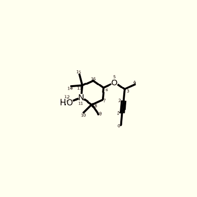 CC#CC(C)OC1CC(C)(C)N(O)C(C)(C)C1